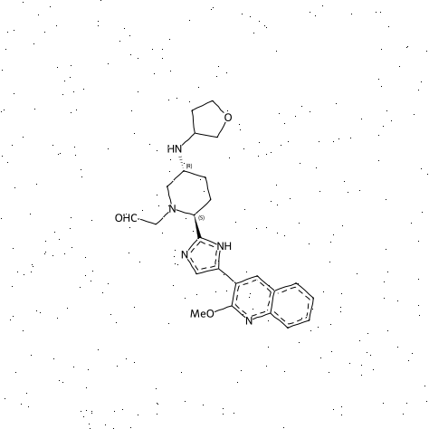 COc1nc2ccccc2cc1-c1cnc([C@@H]2CC[C@@H](NC3CCOC3)CN2CC=O)[nH]1